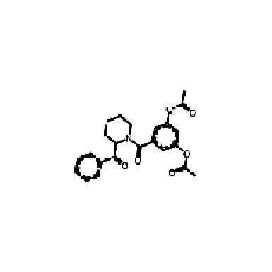 CC(=O)Oc1cc(OC(C)=O)cc(C(=O)N2CCCCC2C(=O)c2ccccc2)c1